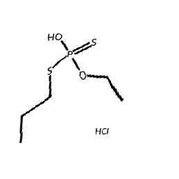 CCCSP(O)(=S)OCC.Cl